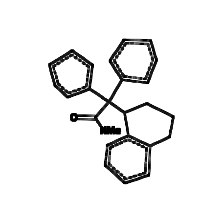 CNC(=O)C(c1ccccc1)(c1ccccc1)C1CCCc2ccccc21